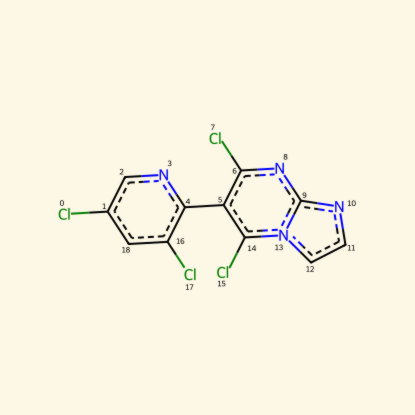 Clc1cnc(-c2c(Cl)nc3nccn3c2Cl)c(Cl)c1